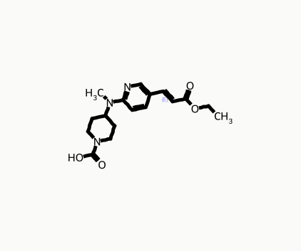 CCOC(=O)/C=C/c1ccc(N(C)C2CCN(C(=O)O)CC2)nc1